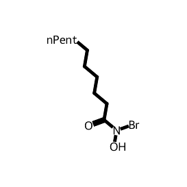 CCCCCCCCCCC(=O)N(O)Br